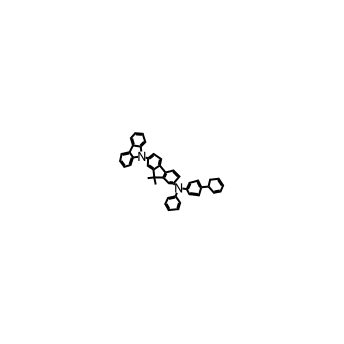 CC1(C)c2cc(N(c3ccccc3)c3ccc(C4C=CC=CC4)cc3)ccc2-c2ccc(-n3c4ccccc4c4ccccc43)cc21